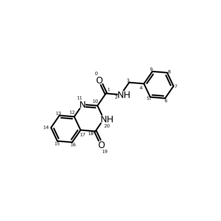 O=C(NCc1[c]cccc1)c1nc2ccccc2c(=O)[nH]1